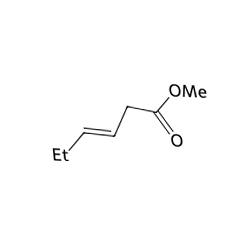 [CH2]OC(=O)CC=CCC